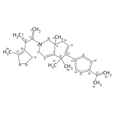 C=C(C(=C)N1CC=C2C(C)(CC=C(c3ccc(C(=C)C)cc3)C2(C)C)C1)C1=C(C)CCC1